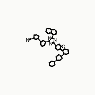 N#Cc1cccc(-c2cccc(-c3nc(-c4ccc5c(c4)oc4cccc(-c6ccc(-c7ccccc7)cc6)c45)nc(-c4cccc5ccccc45)n3)c2)c1